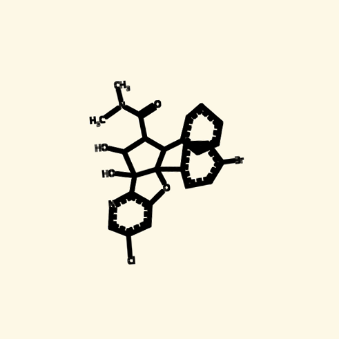 CN(C)C(=O)C1C(O)C2(O)c3ncc(Cl)cc3OC2(c2ccc(Br)cc2)C1c1ccccc1